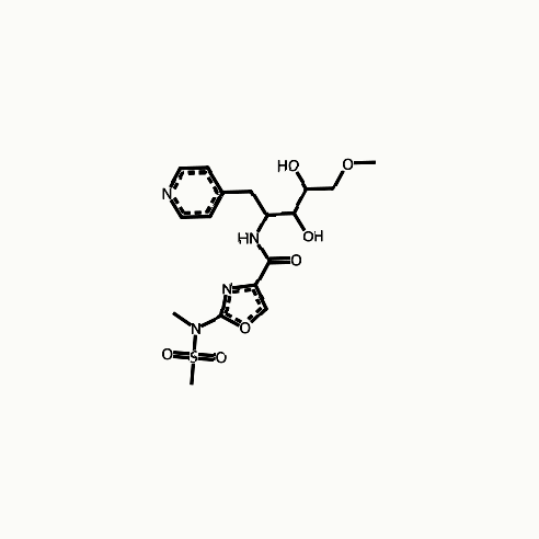 COCC(O)C(O)C(Cc1ccncc1)NC(=O)c1coc(N(C)S(C)(=O)=O)n1